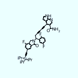 CC(C)[Si](C#Cc1cc(F)c2c(c1)C(=O)N(C(CC#CC#Cc1c(C(N)=O)cnc3[nH]ccc13)c1cc(F)ccc1F)C2)(C(C)C)C(C)C